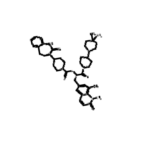 Cc1cc(C[C@@H](OC(=O)N2CCC(N3CCc4ccccc4NC3=O)CC2)C(=O)N2CCC(N3CCC(C)(N)CC3)CC2)cc2ccc(=O)n(C)c12